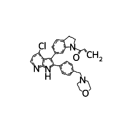 C=CC(=O)N1CCc2ccc(-c3c(-c4ccc(CN5CCOCC5)cc4)[nH]c4nccc(Cl)c34)cc21